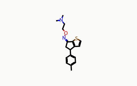 Cc1ccc(C2CC(=NOCCN(C)C)c3sccc32)cc1